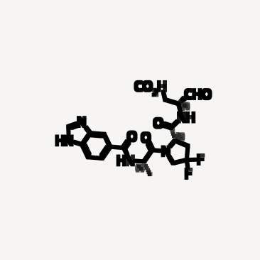 C[C@H](NC(=O)c1ccc2[nH]cnc2c1)C(=O)N1CC(F)(F)C[C@H]1C(=O)N[C@H](C=O)CC(=O)O